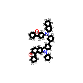 c1ccc(-n2c3ccc(-c4cccc(N(c5ccc6ccccc6c5)c5ccc6c(c5)oc5ccccc56)c4)cc3c3cc4ccc5oc6ccccc6c5c4cc32)cc1